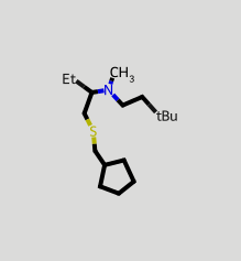 CCC(CSCC1CCCC1)N(C)CCC(C)(C)C